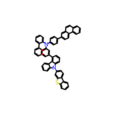 c1ccc(-c2ccccc2N(c2ccc(-c3ccc4c(ccc5ccccc54)c3)cc2)c2cccc(-c3cccc4c3c3ccccc3n4-c3ccc4c(c3)sc3ccccc34)c2)cc1